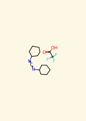 C(=NC1CCCCC1)=NC1CCCCC1.O=C(O)C(F)(F)F